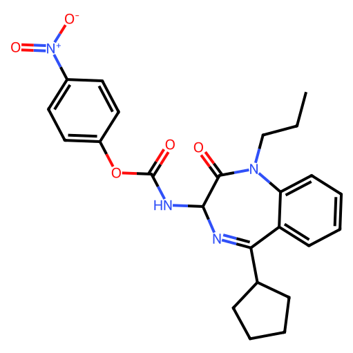 CCCN1C(=O)C(NC(=O)Oc2ccc([N+](=O)[O-])cc2)N=C(C2CCCC2)c2ccccc21